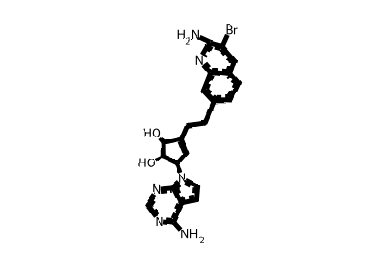 Nc1nc2cc(CCC3=CC(n4ccc5c(N)ncnc54)[C@@H](O)C3O)ccc2cc1Br